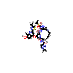 COc1ccc2c(O[C@@H]3C[C@H]4C(=O)N[C@]5(C(=O)NS(=O)(=O)C6CC6)C[C@H]5/C=C\CCCCC[C@H](NC(=O)c5ccn(C(C)C)n5)C(=O)N4C3)cc(-c3nc(C(C)C)cs3)nc2c1C